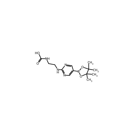 CC1(C)OB(c2cnc(NCCNC(=O)O)nc2)OC1(C)C